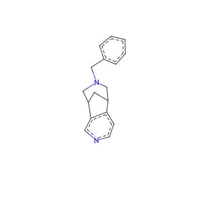 c1ccc(CN2CC3CC(C2)c2cnccc23)cc1